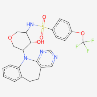 O=S(=O)(NC1COCC(N2c3ccccc3CCc3cncnc32)[C@H]1O)c1ccc(OC(F)(F)F)cc1